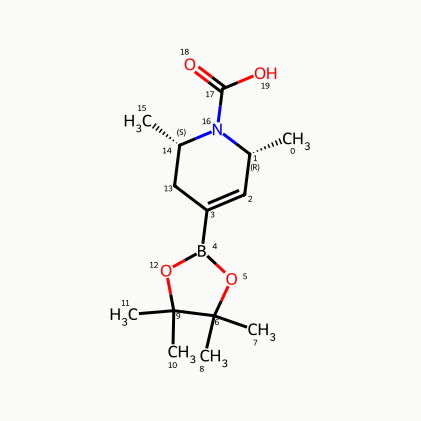 C[C@@H]1C=C(B2OC(C)(C)C(C)(C)O2)C[C@H](C)N1C(=O)O